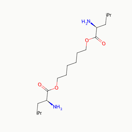 CC(C)C[C@H](N)C(=O)OCCCCCCOC(=O)[C@@H](N)CC(C)C